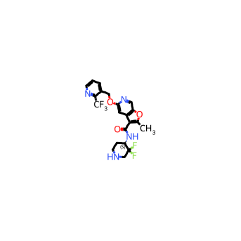 Cc1oc2cnc(OCc3cccnc3C(F)(F)F)cc2c1C(=O)N[C@H]1CCNCC1(F)F